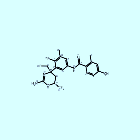 Cc1cc(C#N)cnc1C(=O)Nc1cc(C)c(F)c([C@]2(CF)C[C@@H](C(F)(F)F)OC(N)=N2)c1